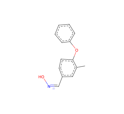 Cc1cc(/C=N\O)ccc1Oc1ccccc1